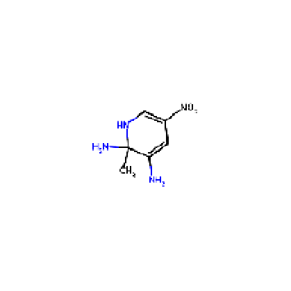 CC1(N)NC=C([N+](=O)[O-])C=C1N